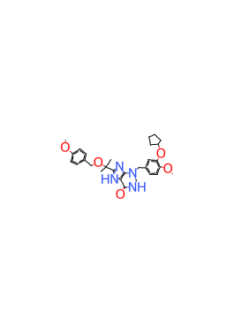 COc1ccc(COC(C)(C)c2nc3c([nH]2)C(=O)NCN3Cc2ccc(OC)c(OC3CCCC3)c2)cc1